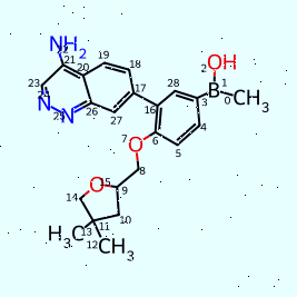 CB(O)c1ccc(OCC2CC(C)(C)CO2)c(-c2ccc3c(N)cnnc3c2)c1